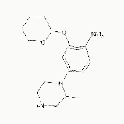 CC1CNCCN1c1ccc(N)c(OC2CCCCO2)c1